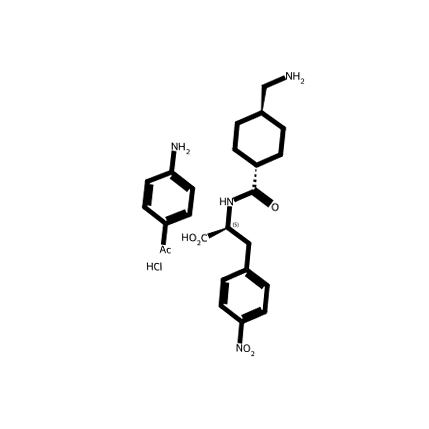 CC(=O)c1ccc(N)cc1.Cl.NC[C@H]1CC[C@H](C(=O)N[C@@H](Cc2ccc([N+](=O)[O-])cc2)C(=O)O)CC1